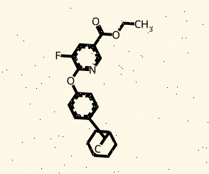 CCOC(=O)c1cnc(Oc2ccc(C3CC4CCC3CC4)cc2)c(F)c1